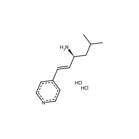 CC(C)C[C@H](N)C=Cc1ccncc1.Cl.Cl